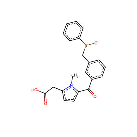 Cn1c(CC(=O)O)ccc1C(=O)c1cccc(C[S+]([O-])c2ccccc2)c1